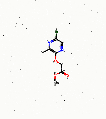 Cc1nc(Br)cnc1OCC(=O)OC(C)(C)C